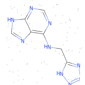 c1nc(NCc2nnn[nH]2)c2nc[nH]c2n1